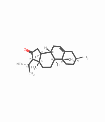 C[C@H]1CC[C@@]2(C)C(=CC[C@H]3[C@@H]4CC(=O)[C@H]([C@H](C)C#N)[C@@]4(C)CC[C@@H]32)C1